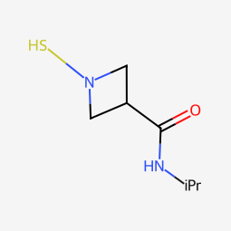 CC(C)NC(=O)C1CN(S)C1